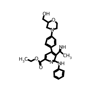 CCOC(=O)c1cc(-c2ccc(N3CCOC(CO)C3)cc2)c(C(C)=N)c(Nc2ccccc2)n1